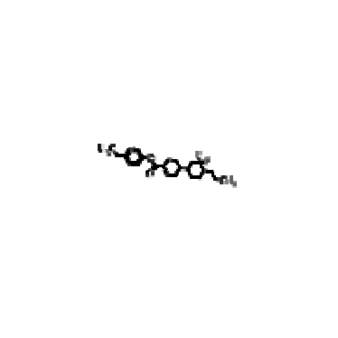 CCCC1CCC(C2CCC(C(=O)Oc3ccc(CC)cc3)CC2)CC1(F)F